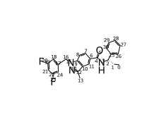 CC[C@H](NC(=O)c1ccc2c(c1)c(C)nn2Cc1cc(F)cc(F)c1)c1ccccc1